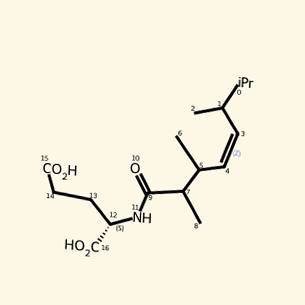 CC(C)C(C)/C=C\C(C)C(C)C(=O)N[C@@H](CCC(=O)O)C(=O)O